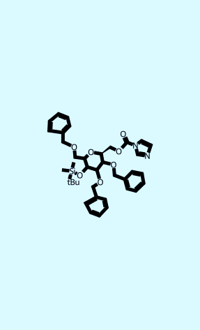 CC(C)(C)[Si](C)(C)OC1C(COCc2ccccc2)O[C@@H](COC(=O)n2ccnc2)C(OCc2ccccc2)C1OCc1ccccc1